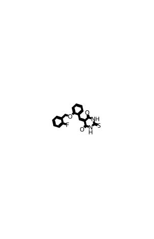 O=C1NC(=S)NC(=O)C1=Cc1ccccc1OCc1ccccc1F